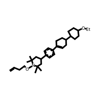 C=CCCON1C(C)(C)CC(c2ccc(C3=CCC(C4CCC(OCC)CC4)CC3)cc2)CC1(C)C